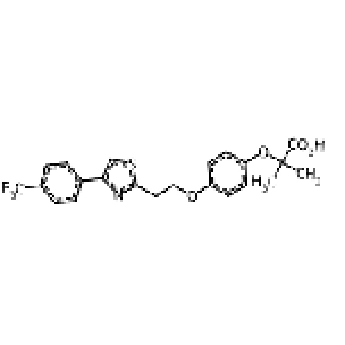 CC(C)(Oc1ccc(OCCc2nc(-c3ccc(C(F)(F)F)cc3)cs2)cc1)C(=O)O